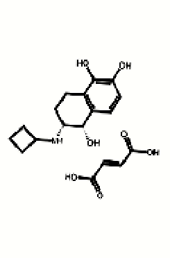 O=C(O)/C=C/C(=O)O.Oc1ccc2c(c1O)CC[C@@H](NC1CCC1)[C@H]2O